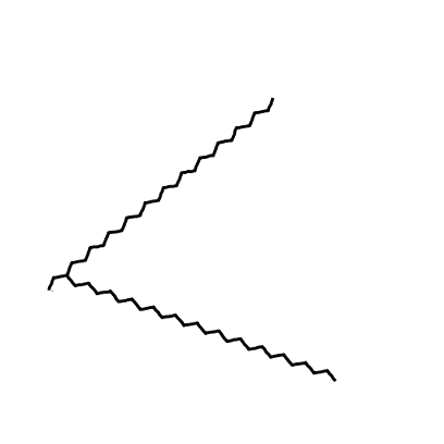 [CH2]CC(CCCCCCCCCCCCCCCCCCCCCCC)CCCCCCCCCCCCCCCCCCCCCCCCC